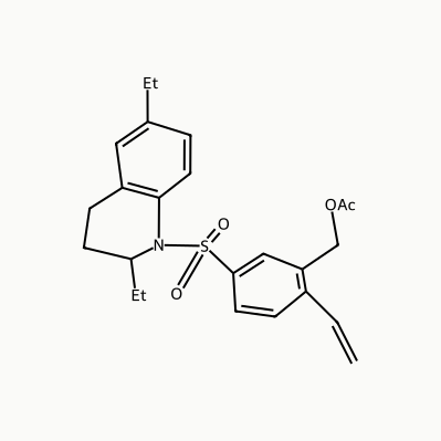 C=Cc1ccc(S(=O)(=O)N2c3ccc(CC)cc3CCC2CC)cc1COC(C)=O